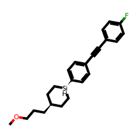 COCCC[C@H]1CC[Si@H](c2ccc(C#Cc3ccc(F)cc3)cc2)CC1